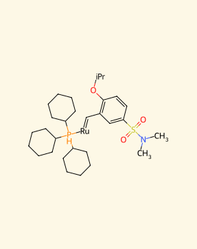 CC(C)Oc1ccc(S(=O)(=O)N(C)C)cc1[CH]=[Ru][PH](C1CCCCC1)(C1CCCCC1)C1CCCCC1